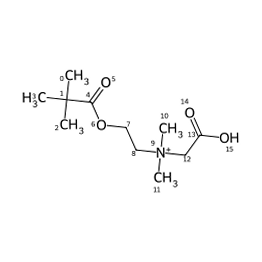 CC(C)(C)C(=O)OCC[N+](C)(C)CC(=O)O